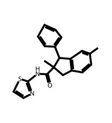 Cc1ccc2c(c1)C(c1ccccc1)C(C)(C(=O)Nc1nccs1)C2